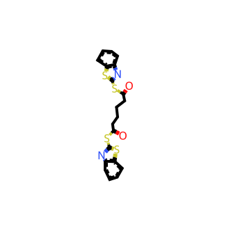 O=C(CCCCC(=O)Sc1nc2ccccc2s1)Sc1nc2ccccc2s1